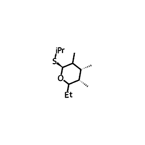 CCC1O[C@@H](SC(C)C)C(C)[C@H](C)[C@@H]1C